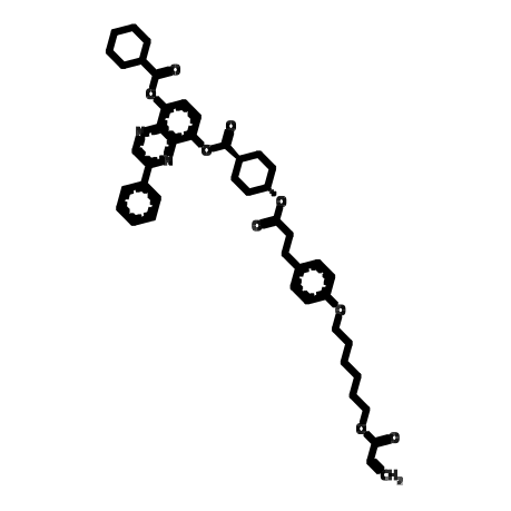 C=CC(=O)OCCCCCCOc1ccc(CCC(=O)O[C@H]2CC[C@H](C(=O)Oc3ccc(OC(=O)C4CCCCC4)c4ncc(-c5ccccc5)nc34)CC2)cc1